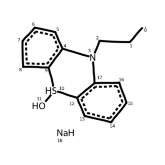 [CH2]CCN1c2ccccc2[SH](O)c2ccccc21.[NaH]